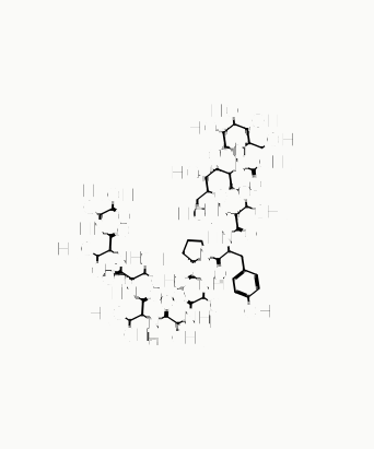 CC(=O)NC1[C@@H](OC(C)[C@H](N)C(=O)NC(Cc2ccc(O)cc2)C(=O)N2CCC[C@H]2C(=O)NC(C)C(=O)N[C@@H](C)C(=O)NC(C(=O)N[C@H](C(=O)NC(C(=O)N[C@@H](C)C(=O)O)C(C)C)C(C)C)C(C)C)OC(CO)[C@H](O)[C@@H]1O[C@@H]1OC(CO)[C@H](O)C(O)[C@@H]1O